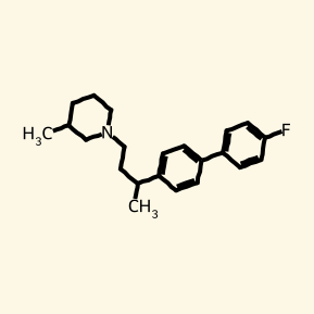 CC1CCCN(CCC(C)c2ccc(-c3ccc(F)cc3)cc2)C1